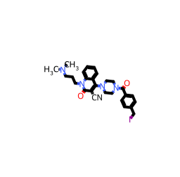 CN(C)CCCn1c(=O)c(C#N)c(N2CCN(C(=O)c3ccc(CI)cc3)CC2)c2ccccc21